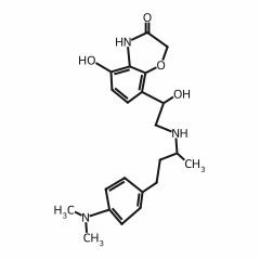 CC(CCc1ccc(N(C)C)cc1)NCC(O)c1ccc(O)c2c1OCC(=O)N2